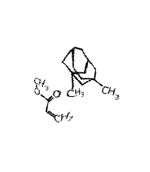 C=CC(=O)OC.CC12CC3CC(C1)CC(C)(C3)C2